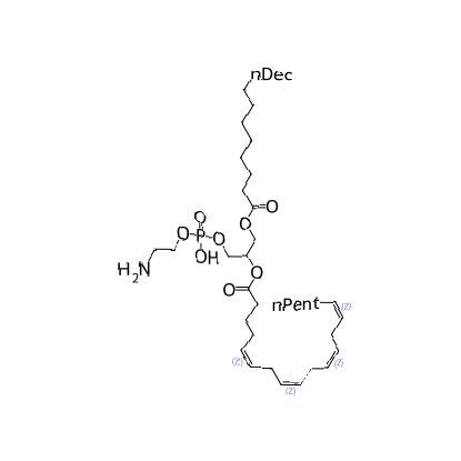 CCCCC/C=C\C/C=C\C/C=C\C/C=C\CCCC(=O)OC(COC(=O)CCCCCCCCCCCCCCCCC)COP(=O)(O)OCCN